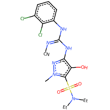 CCN(CC)S(=O)(=O)c1c(O)c(NC(=NC#N)Nc2cccc(Cl)c2Cl)nn1C